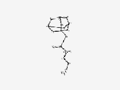 NCCNC(=O)CC12CC3CC(CC(C3)C1)C2